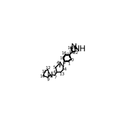 c1cc(N2CCC(CN3CCCC3)CC2)ccc1-c1cn[nH]c1